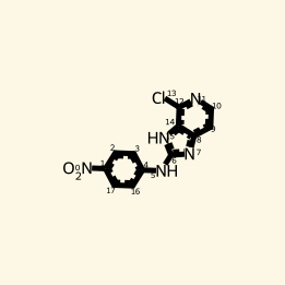 O=[N+]([O-])c1ccc(Nc2nc3ccnc(Cl)c3[nH]2)cc1